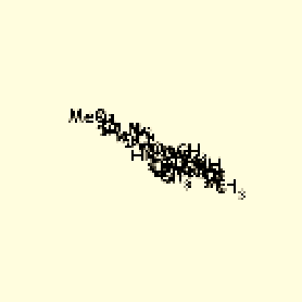 COc1ccc(CCOc2cc(C(=O)Nc3ccc(C)c(N4Cc5cnc(Nc6ccc(C)nc6)nc5N(C)C4=O)c3)ccc2[N+](=O)[O-])cc1